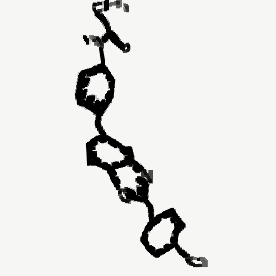 CC(=O)Nc1ccc(-c2ccc3oc(-c4ccc(Cl)cc4)nc3c2)cc1